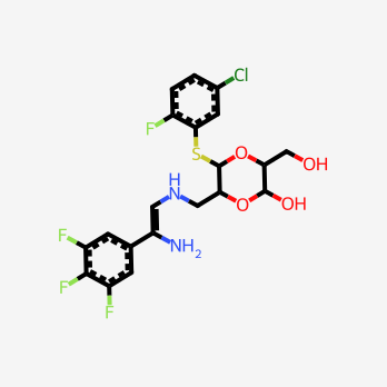 N/C(=C\NCC1OC(O)C(CO)OC1Sc1cc(Cl)ccc1F)c1cc(F)c(F)c(F)c1